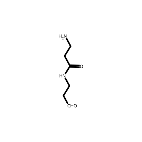 NCCC(=O)NCCC=O